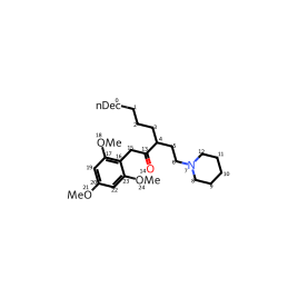 CCCCCCCCCCCCCC(CCN1CCCCC1)C(=O)Cc1c(OC)cc(OC)cc1OC